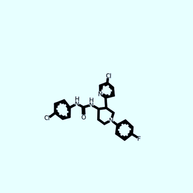 O=C(Nc1ccc(Cl)cc1)NC1CCN(c2ccc(F)cc2)CC1c1ccc(Cl)cn1